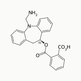 NCN1c2ccccc2C[C@H](OC(=O)c2ccccc2C(=O)O)c2ccccc21